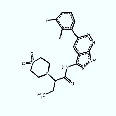 CCC(C(=O)Nc1n[nH]c2nnc(-c3cccc(F)c3F)cc12)N1CCS(=O)(=O)CC1